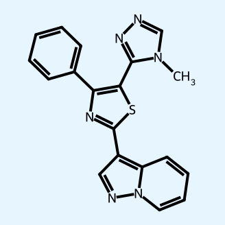 Cn1cnnc1-c1sc(-c2cnn3ccccc23)nc1-c1ccccc1